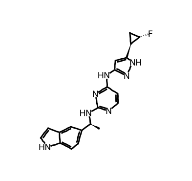 C[C@H](Nc1nccc(Nc2cc([C@H]3C[C@@H]3F)[nH]n2)n1)c1ccc2[nH]ccc2c1